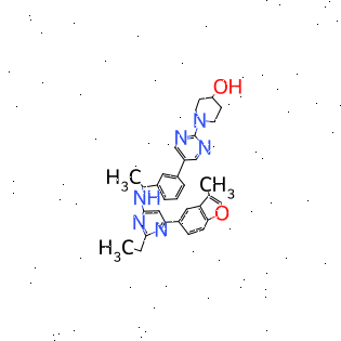 CCc1nc(NC(C)c2cccc(-c3cnc(N4CCC(O)CC4)nc3)c2)cc(-c2ccc3occ(C)c3c2)n1